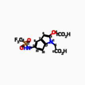 O=C(O)Cn1c(OC(=O)O)cc2cc(NS(=O)(=O)C(F)(F)F)ccc21